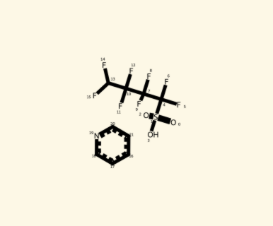 O=S(=O)(O)C(F)(F)C(F)(F)C(F)(F)C(F)F.c1ccncc1